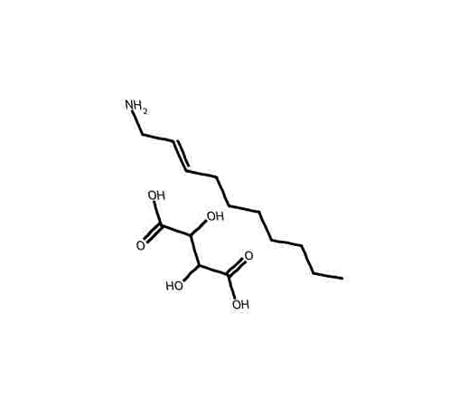 CCCCCCCC=CCN.O=C(O)C(O)C(O)C(=O)O